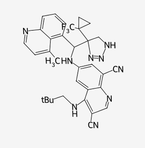 Cc1ccnc2cccc(C(Nc3cc(C#N)c4ncc(C#N)c(NCC(C)(C)C)c4c3)C3(C4(C(F)(F)F)CC4)CNN=N3)c12